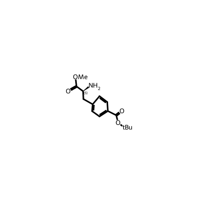 COC(=O)[C@@H](N)Cc1ccc(C(=O)OC(C)(C)C)cc1